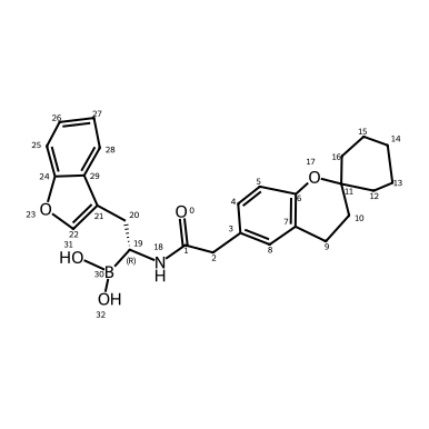 O=C(Cc1ccc2c(c1)CCC1(CCCCC1)O2)N[C@@H](Cc1coc2ccccc12)B(O)O